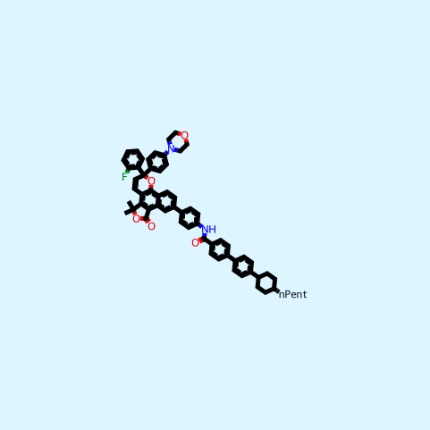 CCCCCC1CCC(c2ccc(-c3ccc(C(=O)Nc4ccc(-c5ccc6c7c(c8c(c6c5)C(=O)OC8(C)C)C=CC(c5ccc(N6CCOCC6)cc5)(c5ccccc5F)O7)cc4)cc3)cc2)CC1